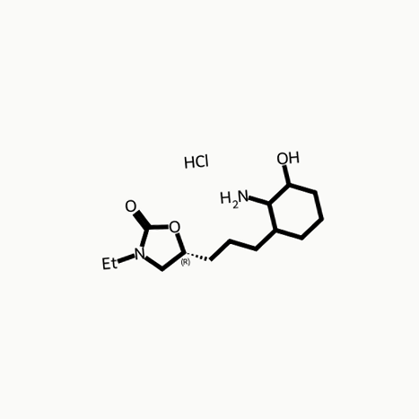 CCN1C[C@@H](CCCC2CCCC(O)C2N)OC1=O.Cl